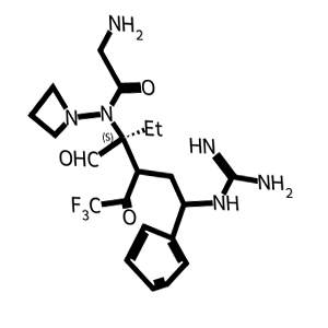 CC[C@@](C=O)(C(CC(NC(=N)N)c1ccccc1)C(=O)C(F)(F)F)N(C(=O)CN)N1CCC1